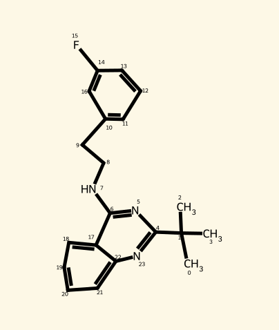 CC(C)(C)c1nc(NCCc2cccc(F)c2)c2ccccc2n1